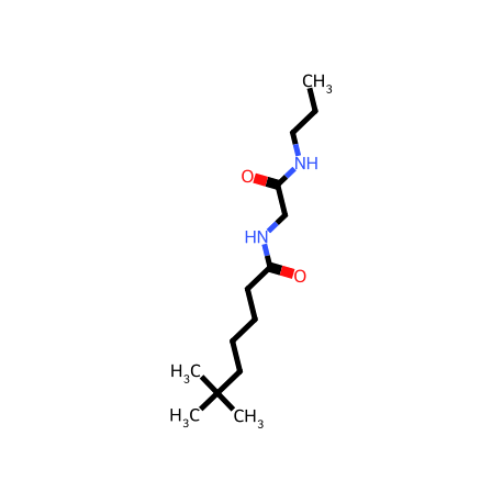 CCCNC(=O)CNC(=O)CCCCC(C)(C)C